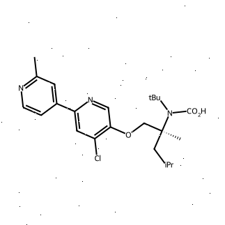 Cc1cc(-c2cc(Cl)c(OC[C@](C)(CC(C)C)N(C(=O)O)C(C)(C)C)cn2)ccn1